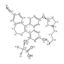 Cc1ccc(C2=C(c3ccc(O[C@H]4CCN(CCCF)C4)cc3)c3ccc(C#N)cc3CCC2)c(Cl)c1.O=C(O)C(F)(F)F